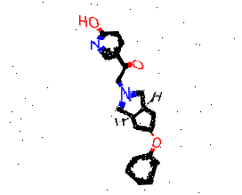 O=C(CN1C[C@H]2C[C@H](Oc3ccccc3)C[C@H]2C1)c1ccc(O)nc1